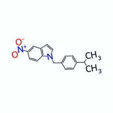 CC(C)c1ccc(Cn2ccc3cc([N+](=O)[O-])ccc32)cc1